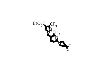 CCOC(=O)c1cn(Cc2ccc(N3CC4C(C3)C4(F)F)nc2C)nc1C(F)(F)F